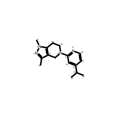 Cc1nn(C)c2c1CN(c1cc(C(C)C)ccn1)CC2